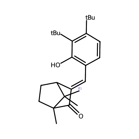 CC(C)(C)c1ccc(/C=C2/C(=O)C3(C)CCC2C3(C)C)c(O)c1C(C)(C)C